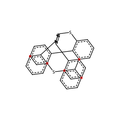 c1ccc(-c2cccc3c2C2(c4ccccc4Sc4ccccc42)c2c(cccc2-c2ccccc2)S3)cc1